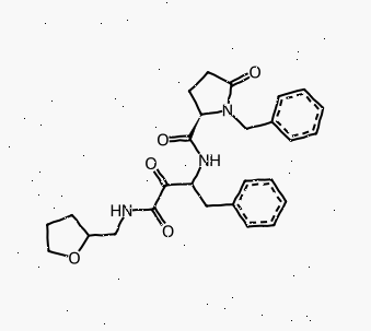 O=C(NCC1CCCO1)C(=O)C(Cc1ccccc1)NC(=O)[C@H]1CCC(=O)N1Cc1ccccc1